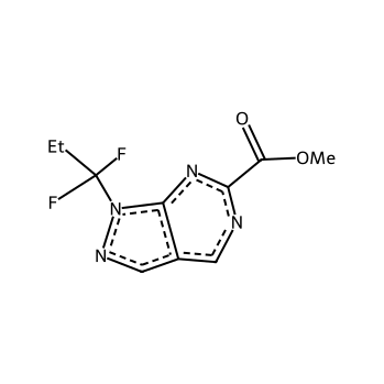 CCC(F)(F)n1ncc2cnc(C(=O)OC)nc21